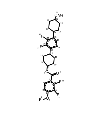 CCOc1ccc(C(=O)OC2CCC(c3ccc(C4CCC(OC)CC4)c(F)c3F)CC2)c(F)c1F